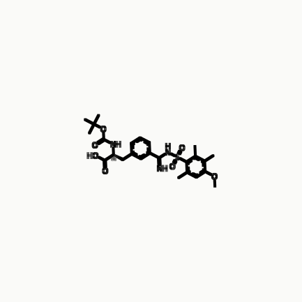 COc1cc(C)c(S(=O)(=O)NC(=N)c2cccc(C[C@H](NC(=O)OC(C)(C)C)C(=O)O)c2)c(C)c1C